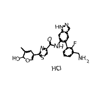 CC1=CC(c2nc(C(=O)Nc3cc4[nH]ncc4cc3-c3cccc(CN)c3F)cs2)=COC1O.Cl